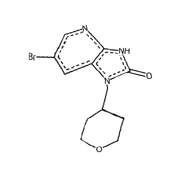 O=c1[nH]c2ncc(Br)cc2n1C1CCOCC1